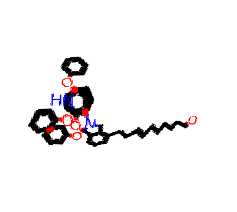 O=CCCCCCCCCCc1cccc2c1CN(C1CCC(Oc3ccccc3)NC1Oc1ccccc1)C2(Oc1ccccc1)Oc1ccccc1